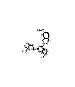 COc1ccc(O)c(CNc2nc(NCC(C)C(C)(C)O)nc3c2ncn3C)c1